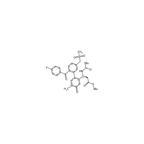 Cn1cc(-c2cc(CS(C)(=O)=O)ccc2C(=O)c2ccc(F)cc2)c([C@H](CC(=O)OC(C)(C)C)N[S+]([O-])C(C)(C)C)cc1=O